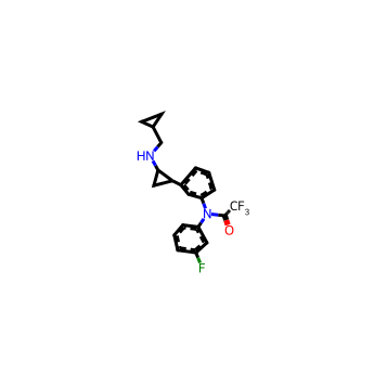 O=C(N(c1cccc(F)c1)c1cccc(C2CC2NCC2CC2)c1)C(F)(F)F